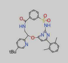 Cc1cccc(C)c1-c1cc2nc(n1)NS(=O)(=O)c1cccc(c1)C(=O)NCC(c1ccc(C(C)(C)C)cn1)O2